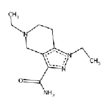 CCN1CCc2c(c(C(N)=O)nn2CC)C1